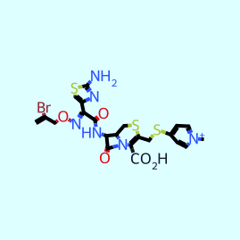 C=C(Br)CON=C(C(=O)NC1C(=O)N2C(C(=O)O)=C(CSc3cc[n+](C)cc3)SCC12)c1csc(N)n1